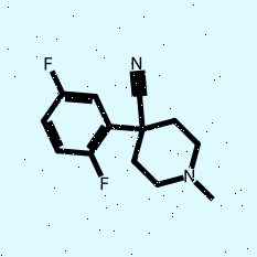 CN1CCC(C#N)(c2cc(F)ccc2F)CC1